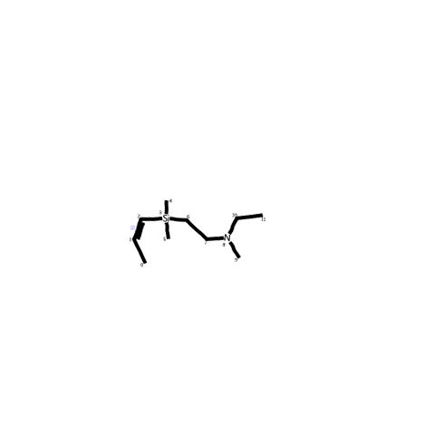 C/C=C\[Si](C)(C)CCN(C)CC